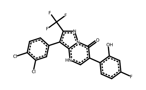 O=c1c(-c2ccc(F)cc2O)c[nH]c2c(-c3ccc(Cl)c(Cl)c3)c(C(F)(F)F)nn12